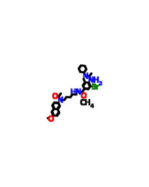 C.CCN(Cc1cc(C(=O)NCCCCCN(C(C)=O)c2ccc3cc(OC)ccc3c2)cc(Br)c1N)C1CCCCC1